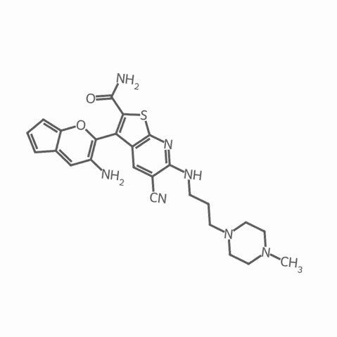 CN1CCN(CCCNc2nc3sc(C(N)=O)c(-c4oc5cccc-5cc4N)c3cc2C#N)CC1